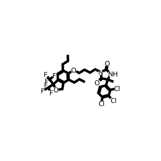 CCCc1cc2c(c(CCC)c1OCCCCN1C(=O)NC(C)(c3ccc(Cl)c(Cl)c3Cl)C1=O)COC2(C(F)(F)F)C(F)(F)F